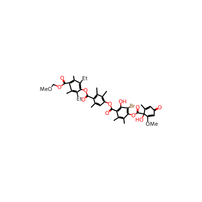 CCc1c(C)c(C(=O)OCOC)c(C)c(CC)c1OC(=O)c1c(C)cc(OC(=O)c2c(C)c(C)c(OC(=O)C3(O)C(C)=CC(=O)C=C3OC)c(Br)c2O)c(C)c1C